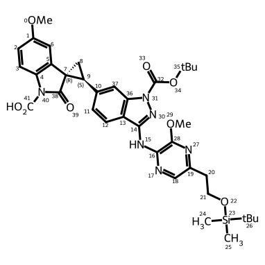 COc1ccc2c(c1)[C@]1(C[C@H]1c1ccc3c(Nc4ncc(CCO[Si](C)(C)C(C)(C)C)nc4OC)nn(C(=O)OC(C)(C)C)c3c1)C(=O)N2C(=O)O